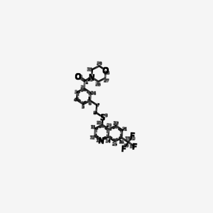 O=C(c1cccc(CCSc2ccnc3cc(C(F)(F)F)ccc23)c1)N1CCOCC1